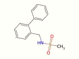 CS(=O)(=O)NCc1c[c]ccc1-c1ccccc1